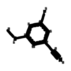 CSc1cc(F)cc(C#N)c1